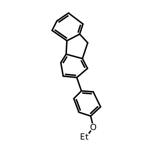 CCOc1ccc(-c2ccc3c(c2)Cc2ccccc2-3)cc1